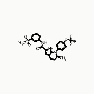 C=C1C=Cc2cc(C(=O)Nc3cccc(S(C)(=O)=O)c3)[nH]c2N1c1ccc(OC(F)(F)F)cc1